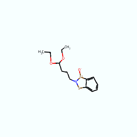 CCOC(CCCN1Sc2ccccc2[S+]1[O-])OCC